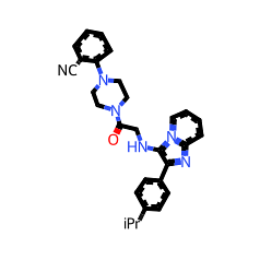 CC(C)c1ccc(-c2nc3ccccn3c2NCC(=O)N2CCN(c3ccccc3C#N)CC2)cc1